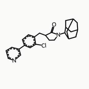 O=C1C(Cc2ccc(-c3cccnc3)cc2Cl)CCN1C1C2CC3CC(C2)CC1C3